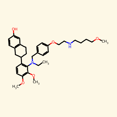 CCN(Cc1ccc(OCCNCCCCOC)cc1)c1c(C2CCc3cc(O)ccc3C2)ccc(OC)c1OC